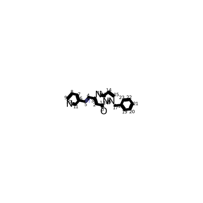 O=c1cc(/C=C/c2cccnc2)nc2ccn(Cc3ccccc3)n12